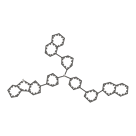 c1cc(-c2ccc(N(c3ccc(-c4ccc5c(c4)sc4ccccc45)cc3)c3cccc(-c4cccc5ccccc45)c3)cc2)cc(-c2ccc3ccccc3c2)c1